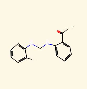 COC(=O)c1ccccc1NCNc1ccccc1C(=O)O